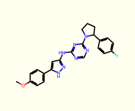 COc1ccc(-c2cc(Nc3ncnc(N4CCCC4c4ccc(F)cc4)n3)n[nH]2)cc1